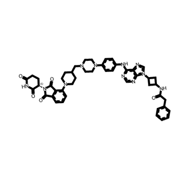 O=C1CC[C@H](N2C(=O)c3cccc(N4CCC(CN5CCN(c6ccc(Nc7ncnc8c7ncn8C7CC(NC(=O)Cc8ccccc8)C7)cc6)CC5)CC4)c3C2=O)C(=O)N1